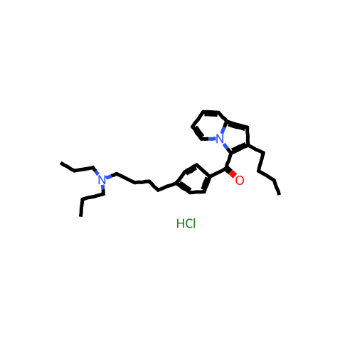 CCCCc1cc2ccccn2c1C(=O)c1ccc(CCCCN(CCC)CCC)cc1.Cl